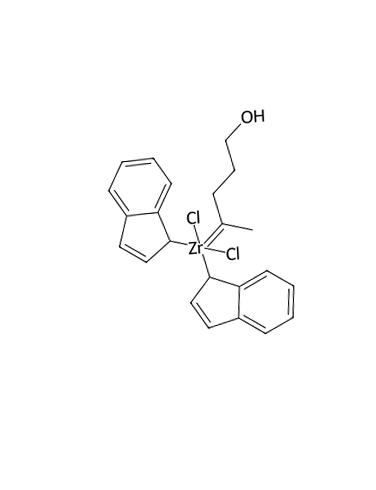 C[C](CCCO)=[Zr]([Cl])([Cl])([CH]1C=Cc2ccccc21)[CH]1C=Cc2ccccc21